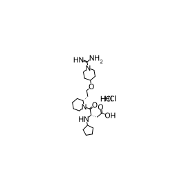 Cl.Cl.N=C(N)N1CCC(OCC[C@H]2CCCCN2C(=O)[C@H](CC(=O)O)NC2CCCC2)CC1